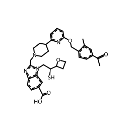 CC(=O)c1ccc(COc2cccc(C3CCN(Cc4nc5ccc(C(=O)O)cc5n4C[C@H](S)C4CCO4)CC3)n2)c(C)c1